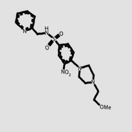 COCCN1CCN(c2ccc(S(=O)(=O)NCc3ccccn3)cc2[N+](=O)[O-])CC1